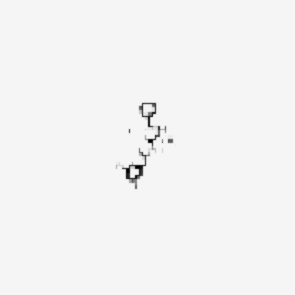 C[C@H](N[C@H](C)c1ccccc1)C(=O)NC(=O)Cc1cc(F)cc(F)c1